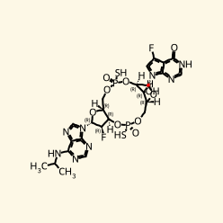 CC(C)Nc1ncnc2c1ncn2[C@@H]1O[C@@H]2COP(=O)(S)O[C@@H]3[C@H](O)[C@@H](COP(=O)(S)O[C@H]2[C@H]1F)O[C@H]3n1cc(F)c2c(=O)[nH]cnc21